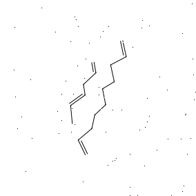 C=CCC=CC.C=CCCCCCCC=C